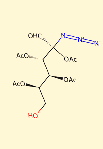 CC(=O)O[C@@H]([C@@H](CO)OC(C)=O)[C@H](OC(C)=O)[C@@](C=O)(N=[N+]=[N-])OC(C)=O